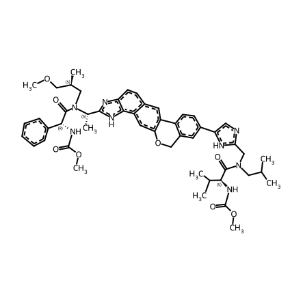 COC[C@@H](C)CN(C(=O)[C@H](NC(=O)OC)c1ccccc1)[C@@H](C)c1nc2ccc3cc4c(cc3c2[nH]1)OCc1cc(-c2cnc(CN(CC(C)C)C(=O)[C@@H](NC(=O)OC)C(C)C)[nH]2)ccc1-4